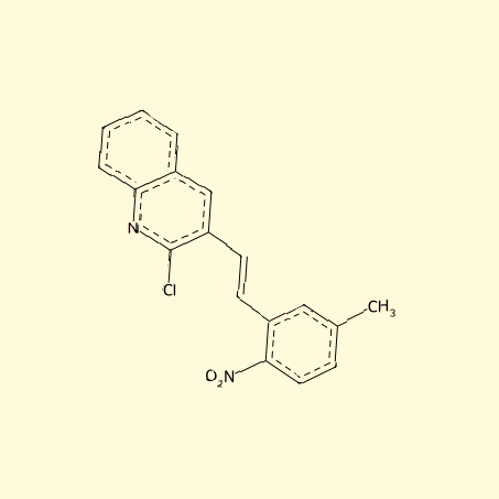 Cc1ccc([N+](=O)[O-])c(C=Cc2cc3ccccc3nc2Cl)c1